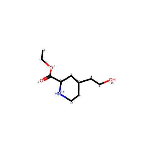 CCOC(=O)C1CC(CCO)CCN1